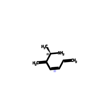 C=C/C=C\C(=C)[C@H](C)N